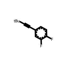 CC(C)(C)C#Cc1ccc(F)c(F)c1